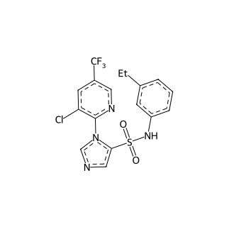 CCc1cccc(NS(=O)(=O)c2cncn2-c2ncc(C(F)(F)F)cc2Cl)c1